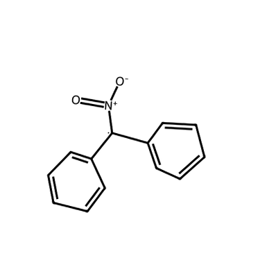 O=[N+]([O-])[C](c1ccccc1)c1ccccc1